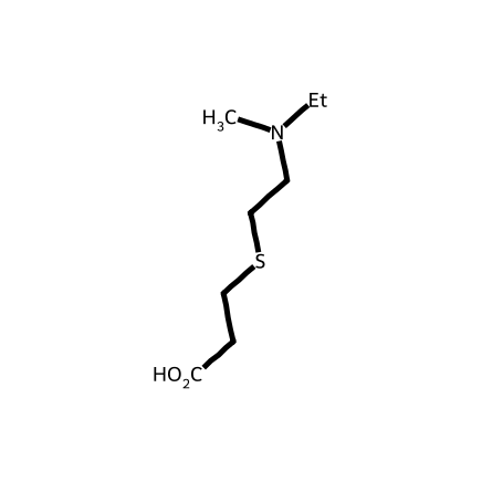 CCN(C)CCSCCC(=O)O